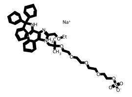 CCOCc1nc2c(NC(c3ccccc3)(c3ccccc3)c3ccccc3)nc3ccccc3c2n1CC(C)(C)OCCOCCOCCOCCOS(=O)(=O)[O-].[Na+]